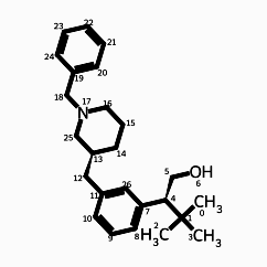 CC(C)(C)[C@H](CO)c1cccc(C[C@@H]2CCCN(Cc3ccccc3)C2)c1